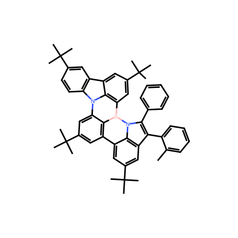 Cc1ccccc1-c1c(-c2ccccc2)n2c3c(cc(C(C)(C)C)cc13)-c1cc(C(C)(C)C)cc3c1B2c1cc(C(C)(C)C)cc2c4cc(C(C)(C)C)ccc4n-3c12